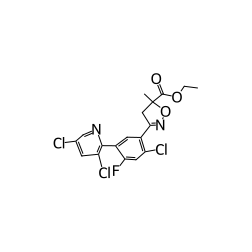 CCOC(=O)C1(C)CC(c2cc(-c3ncc(Cl)cc3Cl)c(F)cc2Cl)=NO1